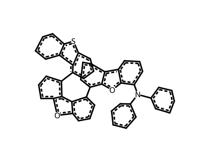 c1ccc(N(c2ccccc2)c2cccc3c2oc2c(-c4cccc5oc6cccc(-c7cccc8sc9ccccc9c78)c6c45)cccc23)cc1